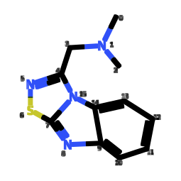 CN(C)Cc1nsc2nc3ccccc3n12